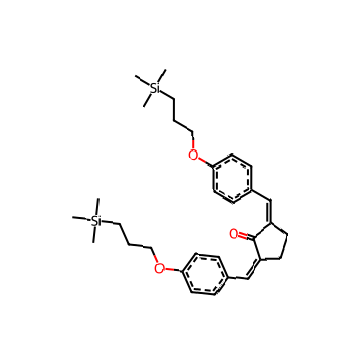 C[Si](C)(C)CCCOc1ccc(C=C2CCC(=Cc3ccc(OCCC[Si](C)(C)C)cc3)C2=O)cc1